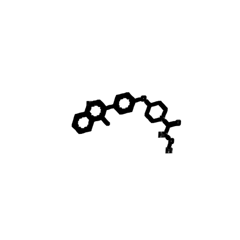 CCONC(=O)N1CCC(Oc2ccc(-c3cnc4ccccc4c3C)cc2)CC1